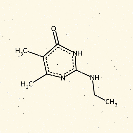 CCNc1nc(C)c(C)c(=O)[nH]1